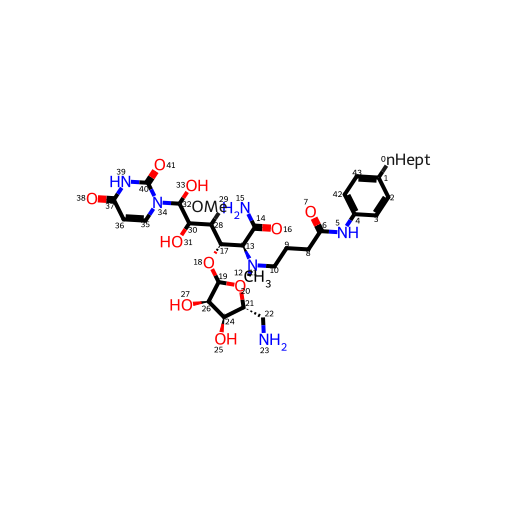 CCCCCCCc1ccc(NC(=O)CCCN(C)[C@H](C(N)=O)[C@H](OC2O[C@H](CN)[C@@H](O)[C@H]2O)C(OC)C(O)C(O)n2ccc(=O)[nH]c2=O)cc1